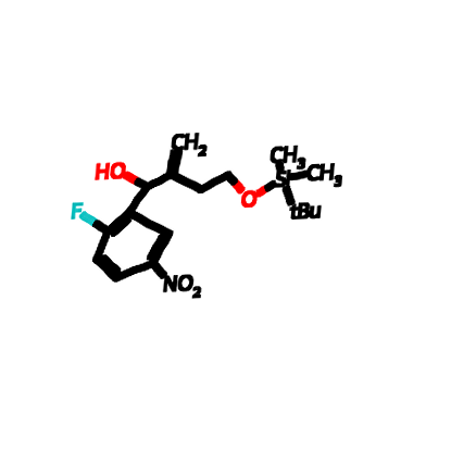 C=C(CCO[Si](C)(C)C(C)(C)C)C(O)c1cc([N+](=O)[O-])ccc1F